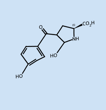 O=C(c1ccc(O)cc1)C1C[C@@H](C(=O)O)NC1O